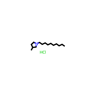 CCCCCCCCCCN1CCC(C)C1.Cl